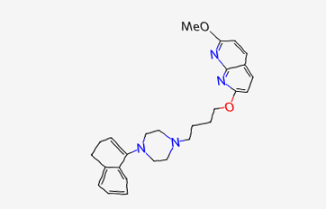 COc1ccc2ccc(OCCCCN3CCN(C4=CCCc5ccccc54)CC3)nc2n1